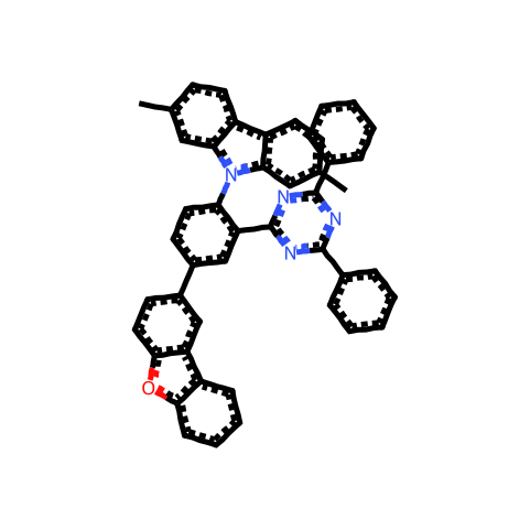 Cc1ccc2c3ccc(C)cc3n(-c3ccc(-c4ccc5oc6ccccc6c5c4)cc3-c3nc(-c4ccccc4)nc(-c4ccccc4)n3)c2c1